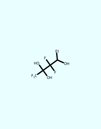 CCC(O)C(F)(F)C(O)(O)C(F)(F)F